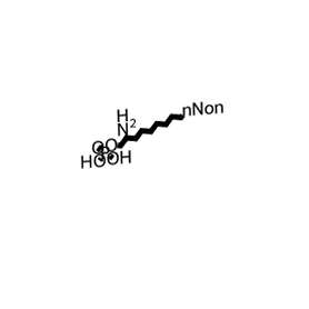 CCCCCCCCCCCCCCCC[C@@H](N)COP(=O)(O)O